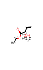 C=CCC(=O)OCC(C)=O.O=C(O)O